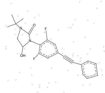 CC(C)(C)N1CC(O)N(c2c(F)cc(C#Cc3ccccc3)cc2F)C1=O